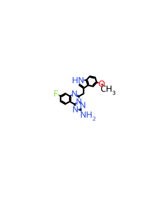 COc1ccc2[nH]cc(Cc3nc4cc(F)ccc4c4nc(N)nn34)c2c1